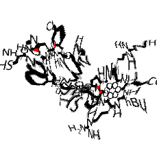 CCCC[C@H](NC(=O)[C@H](CCC(=O)O)NC(=O)[C@@H](CCCNC(=N)N)NC(=O)[C@@H]1CCCN1C(=O)[C@@H]1CCCN1C(=O)[C@H](CS)NC(=O)[C@H](Cc1c[nH]c2ccccc12)NC(=O)[C@H](Cc1c[nH]cn1)NC(=O)[C@@H](Cc1ccc(Cl)cc1)NC(=O)[C@H](Cc1c[nH]cn1)NC(=O)[C@@H]1CCCN1C(=O)[C@H](CS)NC(C)=O)C(=O)N[C@H](CCCNC(=N)N)C(=O)N[C@H](CCCNC(=N)N)C(N)=O